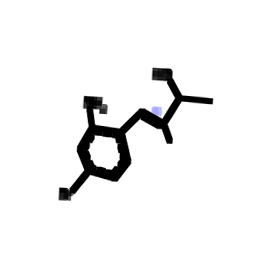 C/C(=C\c1ccc(Br)cc1N)C(C)O